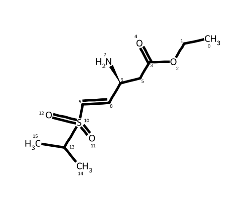 CCOC(=O)C[C@H](N)/C=C/S(=O)(=O)C(C)C